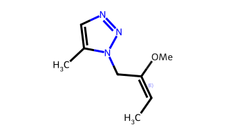 C/C=C(\Cn1nncc1C)OC